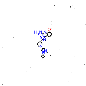 COc1cccc2c1nc(N)n1nc([C@@H]3CCCN(c4cnn(C5CCC5)c4)C3)nc21